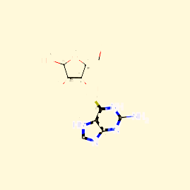 Nc1nc2nc[nH]c2c(=S)[nH]1.OC[C@H]1OC(O)[C@H](O)[C@@H]1O